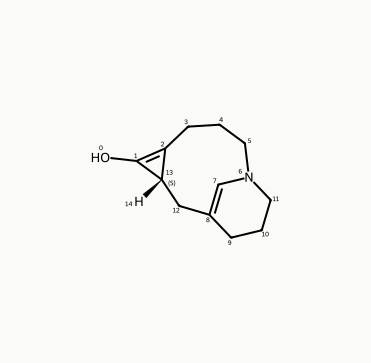 OC1=C2CCCN3C=C(CCC3)C[C@H]12